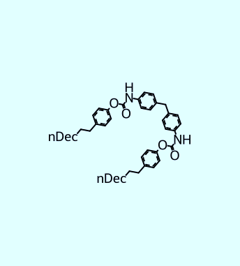 CCCCCCCCCCCCc1ccc(OC(=O)Nc2ccc(Cc3ccc(NC(=O)Oc4ccc(CCCCCCCCCCCC)cc4)cc3)cc2)cc1